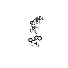 CCCCN(CC)Cc1ccc(CNC(=O)CCCc2cn(Cc3ccccc3C)c3ccccc23)o1